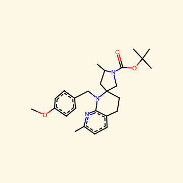 COc1ccc(CN2c3nc(C)ccc3CCC23CC(C)N(C(=O)OC(C)(C)C)C3)cc1